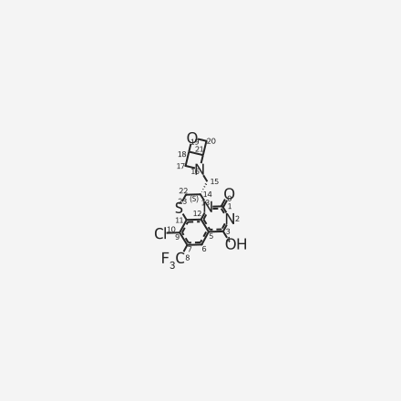 O=c1nc(O)c2cc(C(F)(F)F)c(Cl)c3c2n1[C@@H](CN1CC2OCC21)CS3